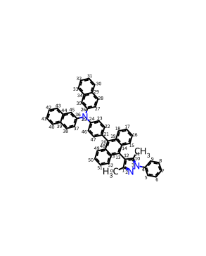 Cc1nn(-c2ccccc2)c(C)c1-c1c2ccccc2c(-c2ccc(N(c3ccc4ccccc4c3)c3ccc4ccccc4c3)cc2)c2ccccc12